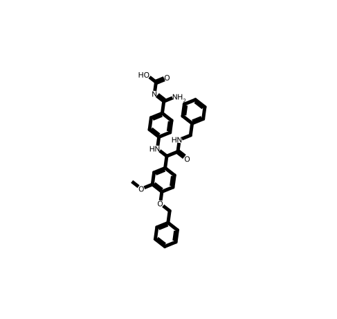 COc1cc(C(Nc2ccc(/C(N)=N/C(=O)O)cc2)C(=O)NCc2ccccc2)ccc1OCc1ccccc1